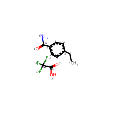 CCc1ccc(C(N)=O)cc1.O=C(O)C(F)(F)F